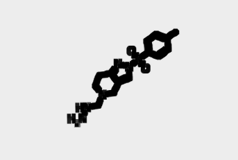 Cc1ccc(S(=O)(=O)n2cc3c(n2)CCN(CNN)C3)cc1